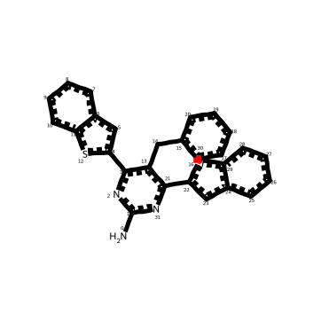 Nc1nc(-c2cc3ccccc3s2)c(Cc2ccccc2)c(-c2cc3ccccc3s2)n1